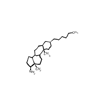 CCCCCC[C@H]1CC[C@@]2(C)C(CCC3C2CC[C@@]2(C)C3CC[C@@H]2N)C1